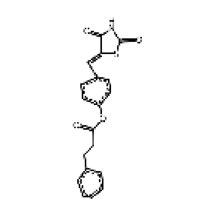 O=C(CCc1ccccc1)Oc1ccc(/C=C2\SC(=O)NC2=O)cc1